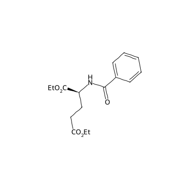 CCOC(=O)CC[C@H](NC(=O)c1ccccc1)C(=O)OCC